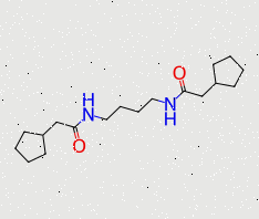 O=C(CC1CCCC1)NCCCCNC(=O)CC1CCCC1